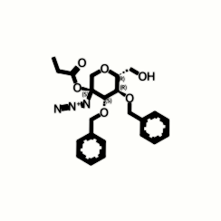 CCC(=O)O[C@@]1(N=[N+]=[N-])CO[C@H](CO)[C@@H](OCc2ccccc2)[C@@H]1OCc1ccccc1